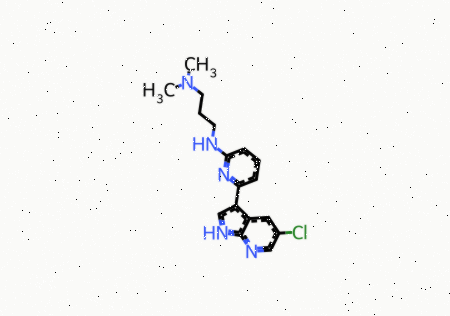 CN(C)CCCNc1cccc(-c2c[nH]c3ncc(Cl)cc23)n1